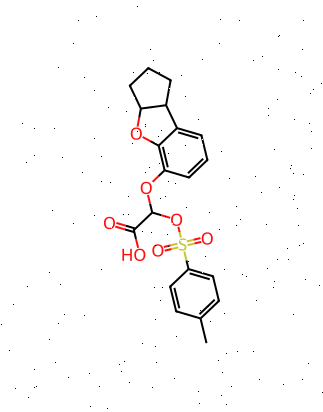 Cc1ccc(S(=O)(=O)OC(Oc2cccc3c2OC2CCCC32)C(=O)O)cc1